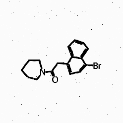 O=C(Cc1ccc(Br)c2ccccc12)N1CCCCC1